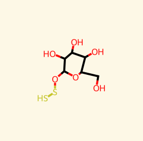 OCC1OC(OSS)C(O)C(O)C1O